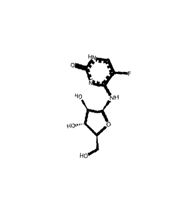 O=c1nc(N[C@H]2O[C@@H](CO)[C@H](O)[C@H]2O)c(F)c[nH]1